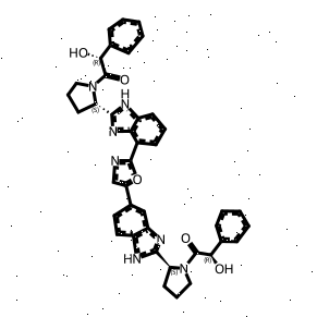 O=C([C@H](O)c1ccccc1)N1CCC[C@H]1c1nc2cc(-c3cnc(-c4cccc5[nH]c([C@@H]6CCCN6C(=O)[C@H](O)c6ccccc6)nc45)o3)ccc2[nH]1